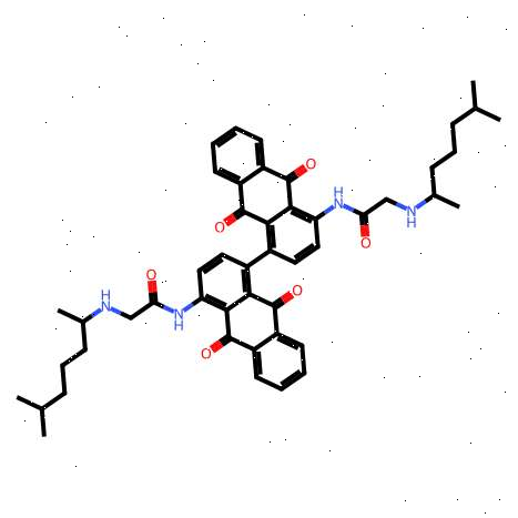 CC(C)CCCC(C)NCC(=O)Nc1ccc(-c2ccc(NC(=O)CNC(C)CCCC(C)C)c3c2C(=O)c2ccccc2C3=O)c2c1C(=O)c1ccccc1C2=O